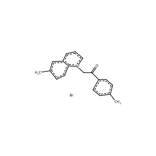 Cc1ccc(C(=O)C[n+]2cccc3cc(C)ccc32)cc1.[Br-]